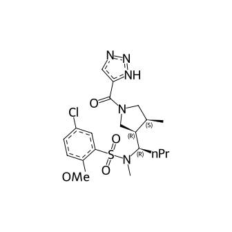 CCC[C@H]([C@H]1CN(C(=O)c2cnn[nH]2)C[C@H]1C)N(C)S(=O)(=O)c1cc(Cl)ccc1OC